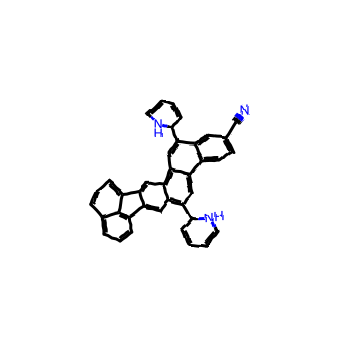 N#Cc1ccc2c(c1)c(C1C=CC=CN1)cc1c3cc4c(cc3c(C3C=CC=CN3)cc21)-c1cccc2cccc-4c12